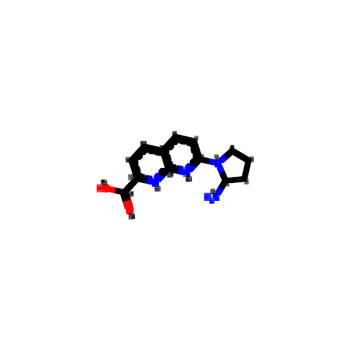 NC1CCCN1c1ccc2ccc(C(=O)O)nc2n1